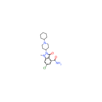 Cn1c2cc(Cl)cc(C(N)=O)c2c(=O)n1C1CCN(C2CCCCC2)CC1